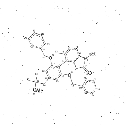 CCN1C(=O)Cc2c1ccc(C)c2-c1c(OCc2ccccc2)cc(CC(C)(C)OC)cc1OCc1ccccc1